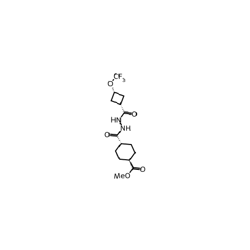 COC(=O)[C@H]1CC[C@H](C(=O)NNC(=O)[C@H]2C[C@@H](OC(F)(F)F)C2)CC1